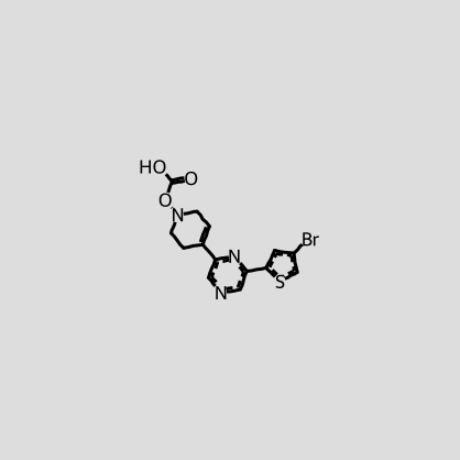 O=C(O)ON1CC=C(c2cncc(-c3cc(Br)cs3)n2)CC1